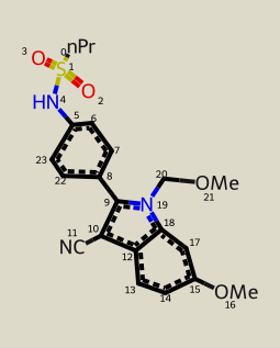 CCCS(=O)(=O)Nc1ccc(-c2c(C#N)c3ccc(OC)cc3n2COC)cc1